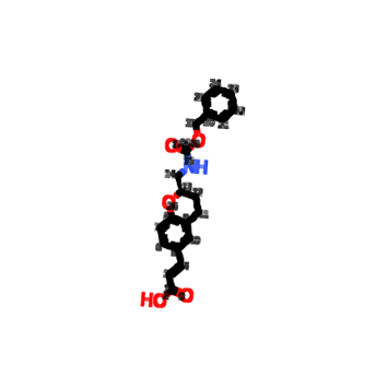 O=C(O)/C=C/c1ccc2c(c1)CC[C@H](CNC(=O)OCc1ccccc1)O2